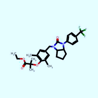 CCOC(=O)C(C)(C)Oc1c(C)cc(CN2C(=O)N(c3ccc(C(F)(F)F)cc3)C3CCCC32)cc1C